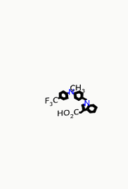 CN(c1ccc(Cn2cc(CC(=O)O)c3ccccc32)cc1)c1ccc(C(F)(F)F)cc1